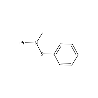 CC(C)N(C)Sc1ccccc1